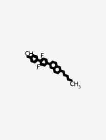 CCCCCCC1CCC2CC(c3cc(F)c(-c4ccc(CC)cc4)c(F)c3)CCC2C1